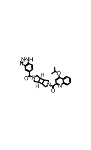 CC(C)Oc1cc(C(=O)N2CC3C(C2)[C@@H]2CN(C(=O)c4ccc5[nH]nnc5c4)C[C@H]32)nc2ccccc12